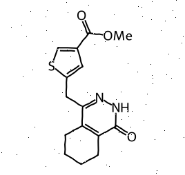 COC(=O)c1csc(Cc2n[nH]c(=O)c3c2CCCC3)c1